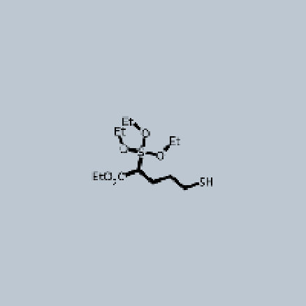 CCOC(=O)C(CCCS)[Si](OCC)(OCC)OCC